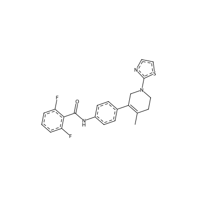 CC1=C(c2ccc(NC(=O)c3c(F)cccc3F)cc2)CN(c2nccs2)CC1